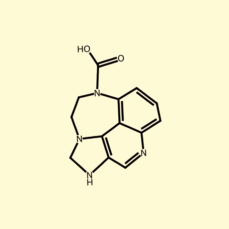 O=C(O)N1CCN2CNc3cnc4cccc1c4c32